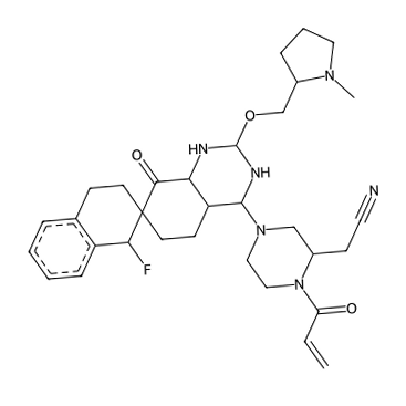 C=CC(=O)N1CCN(C2NC(OCC3CCCN3C)NC3C(=O)C4(CCc5ccccc5C4F)CCC32)CC1CC#N